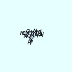 Cc1ccc2c(n1)C(C)(C)CN2c1ncnc(Nc2cc([N+](=O)[O-])c(N(C)CCN(C)C)cc2OCC(F)(F)F)n1